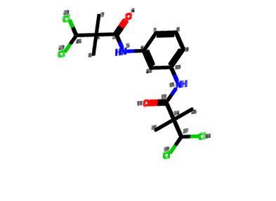 CC(C)(C(=O)Nc1cccc(NC(=O)C(C)(C)C(Cl)Cl)c1)C(Cl)Cl